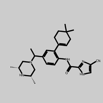 CC(c1ccc(NC(=O)c2nc(C#N)c[nH]2)c(C2=CCC(C)(C)CC2)c1)N1C[C@@H](C)N[C@@H](C)C1